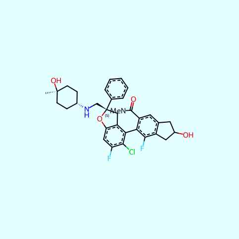 CNC(=O)c1cc2c(c(F)c1-c1c(Cl)c(F)cc3c1C[C@@](CN[C@H]1CC[C@](C)(O)CC1)(c1ccccc1)O3)CC(O)C2